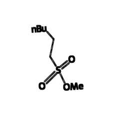 CCCCCCS(=O)(=O)OC